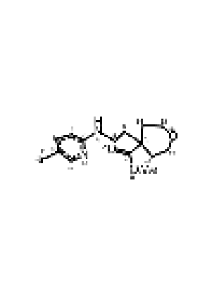 COC(=O)C1(CCNc2ccc(Br)cn2)CCOCC1